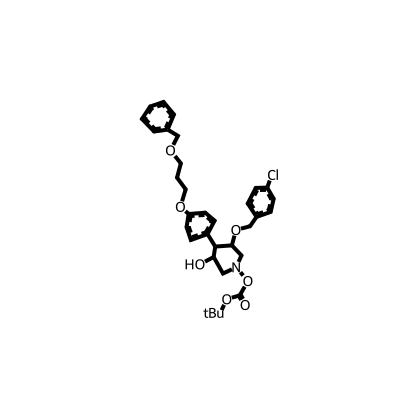 CC(C)(C)OC(=O)ON1CC(O)C(c2ccc(OCCCOCc3ccccc3)cc2)C(OCc2ccc(Cl)cc2)C1